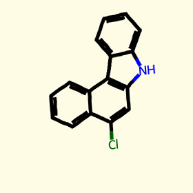 Clc1cc2[nH]c3ccccc3c2c2ccccc12